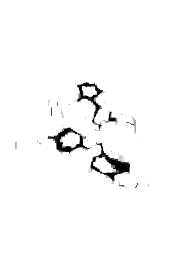 C=CC[C@@H](c1ccccc1C)[C@@H](C)S(=O)(=O)N(Cc1ccc(OC)cc1)Cc1ccc(OC)cc1